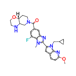 COc1ccc2cc(-c3nc4cc(C(=O)N5CC[C@H]6OCCNC6C5)cc(F)c4n3C)n(CC3CC3)c2n1